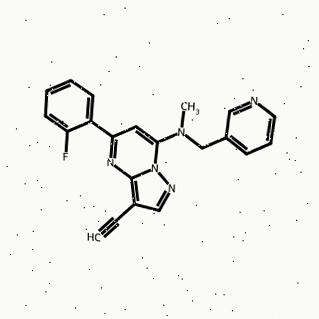 C#Cc1cnn2c(N(C)Cc3cccnc3)cc(-c3ccccc3F)nc12